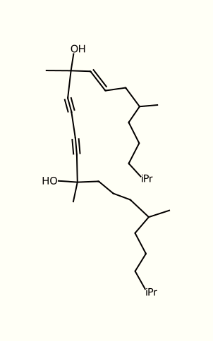 CC(C)CCCC(C)C/C=C/C(C)(O)C#CC#CC(C)(O)CCCC(C)CCCC(C)C